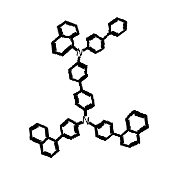 c1ccc(-c2ccc(N(c3ccc(-c4ccc(N(c5ccc(-c6cccc7ccccc67)cc5)c5ccc(-c6cccc7ccccc67)cc5)cc4)cc3)c3cccc4ccccc34)cc2)cc1